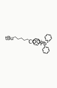 CC(C)(C)CCCCCC(=O)[O-].c1cc[c]([Pb+]([c]2ccccc2)[c]2ccccc2)cc1